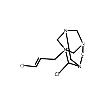 ClC=CC[N+]12CN3CN(CN(C3)C1Cl)C2